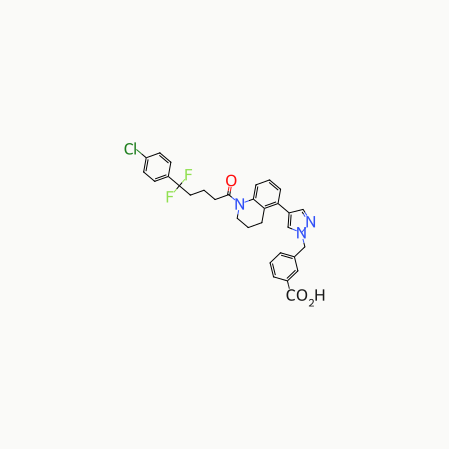 O=C(O)c1cccc(Cn2cc(-c3cccc4c3CCCN4C(=O)CCCC(F)(F)c3ccc(Cl)cc3)cn2)c1